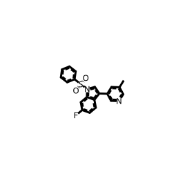 Cc1cncc(-c2cn(S(=O)(=O)c3ccccc3)c3cc(F)ccc23)c1